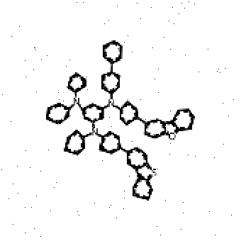 c1ccc(-c2ccc(N(c3ccc(-c4ccc5oc6ccccc6c5c4)cc3)c3cc(N(c4ccccc4)c4ccccc4)cc(N(c4ccccc4)c4ccc(-c5ccc6sc7ccccc7c6c5)cc4)c3)cc2)cc1